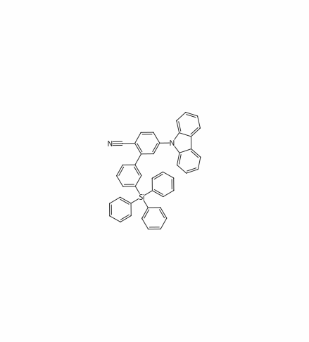 N#Cc1ccc(-n2c3ccccc3c3ccccc32)cc1-c1cccc([Si](c2ccccc2)(c2ccccc2)c2ccccc2)c1